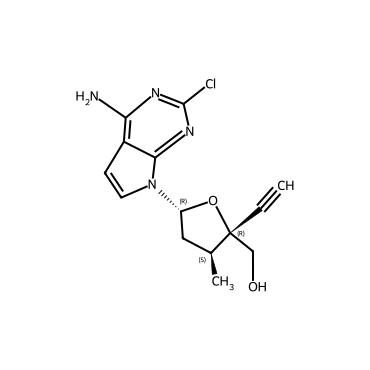 C#C[C@]1(CO)O[C@@H](n2ccc3c(N)nc(Cl)nc32)C[C@@H]1C